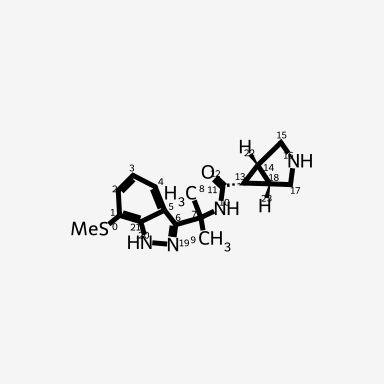 CSc1cccc2c(C(C)(C)NC(=O)[C@@H]3[C@@H]4CNC[C@@H]43)n[nH]c12